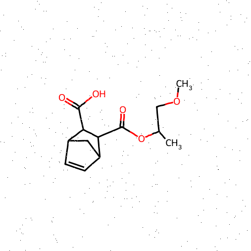 COCC(C)OC(=O)C1C2C=CC(C2)C1C(=O)O